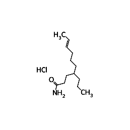 CC=CCCCC(CCC)CCC(N)=O.Cl